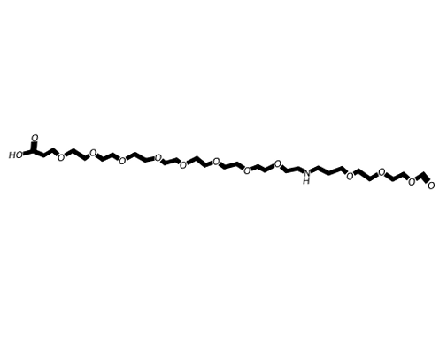 O=COCCOCCOCCCNCCOCCOCCOCCOCCOCCOCCOCCOCCC(=O)O